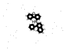 c1ccc(-c2c(Nc3cccc4oc5ccccc5c34)ccc3ccccc23)cc1